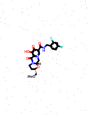 COC[C@@H]1CCN2C(=O)c3c(O)c(=O)c(C(=O)NCc4ccc(F)cc4F)cn3C[C@@H]2O1